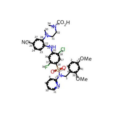 COc1ccc(CN(c2ccccn2)S(=O)(=O)c2cc(Cl)c(Nc3ccc(C#N)cc3N(C)CCN(C)C(=O)O)cc2F)c(OC)c1